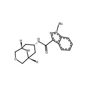 CCC(C)n1nc(C(=O)N[C@H]2C[C@H]3COC[C@@H](C2)N3)c2ccccc21